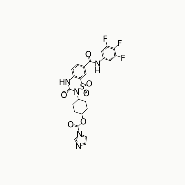 O=C(Nc1cc(F)c(F)c(F)c1)c1ccc2c(c1)S(=O)(=O)N([C@H]1CC[C@H](OC(=O)n3ccnc3)CC1)C(=O)N2